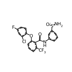 N[S+]([O-])c1cccc(NC(=O)c2c(Oc3ccc(F)cc3Cl)cccc2C(F)(F)F)c1